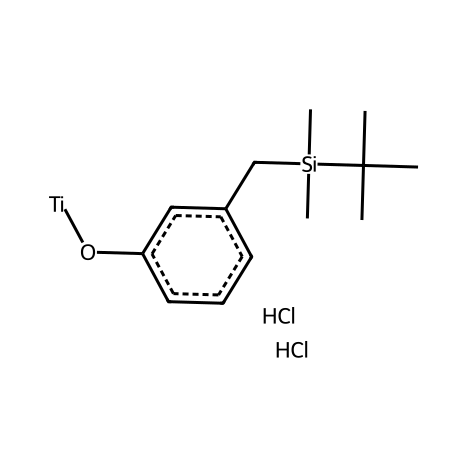 CC(C)(C)[Si](C)(C)Cc1cccc([O][Ti])c1.Cl.Cl